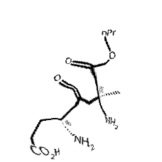 CCCOC(=O)[C@@](C)(N)C(=O)[C@H](N)CC(=O)O